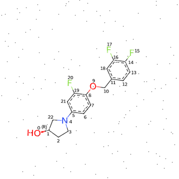 O[C@@H]1CCN(c2ccc(OCc3ccc(F)c(F)c3)c(F)c2)C1